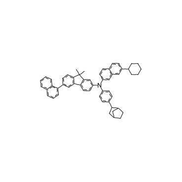 CC1(C)c2ccc(-c3cccc4ccccc34)cc2-c2ccc(N(c3ccc(C4CC5CCC4C5)cc3)c3ccc4ccc(C5CCCCC5)cc4c3)cc21